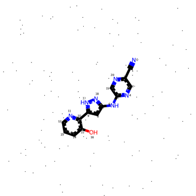 N#Cc1cnc(Nc2cc(-c3ncccc3O)[nH]n2)cn1